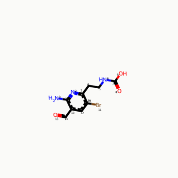 Nc1nc(CCNC(=O)O)c(Br)cc1C=O